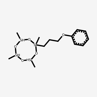 C[SiH]1O[SiH](C)O[Si](C)(CCCOc2ccccc2)O[SiH](C)O1